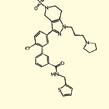 CS(=O)(=O)N1CCc2c(c(-c3ccc(Cl)c(-c4cccc(C(=O)NCc5cccs5)c4)c3)nn2CCCN2CCCC2)C1